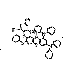 CC(C)c1cc(C(C)C)c(B2c3ccccc3Sc3cc4c(cc32)B2c3ccccc3N(c3ccccc3)c3cc(N(c5ccccc5)c5ccccc5)cc(c32)S4)c(C(C)C)c1